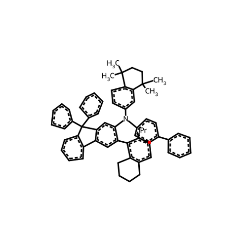 CC(C)c1ccc2c(c1-c1cc3c(cc1N(c1ccc(-c4ccccc4)cc1)c1ccc4c(c1)C(C)(C)CCC4(C)C)C(c1ccccc1)(c1ccccc1)c1ccccc1-3)CCCC2